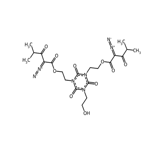 CC(C)C(=O)C(=[N+]=[N-])C(=O)OCCn1c(=O)n(CCO)c(=O)n(CCOC(=O)C(=[N+]=[N-])C(=O)C(C)C)c1=O